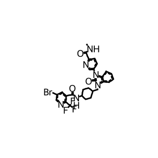 CNC(=O)c1ccc(-n2c(=O)n(CC3CCC(NC(=O)c4cc(Br)cnc4C(F)(F)F)CC3)c3ccccc32)cn1